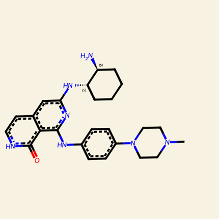 CN1CCN(c2ccc(Nc3nc(N[C@H]4CCCC[C@@H]4N)cc4cc[nH]c(=O)c34)cc2)CC1